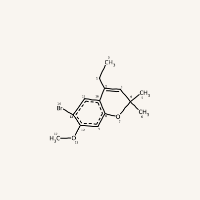 CCC1=CC(C)(C)Oc2cc(OC)c(Br)cc21